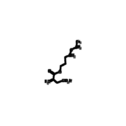 C=C(CC(=O)O)C(=O)OCCC[SiH2]O[SiH2]C